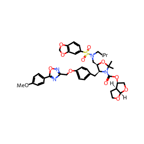 COc1ccc(-c2nc(COc3ccc(C[C@H]4[C@@H](CN(CC(C)C)S(=O)(=O)c5ccc6c(c5)OCO6)OC(C)(C)N4C(=O)O[C@H]4CO[C@H]5OCC[C@H]54)cc3)no2)cc1